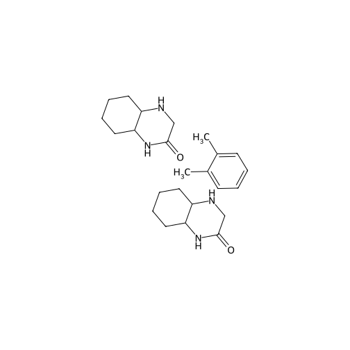 Cc1ccccc1C.O=C1CNC2CCCCC2N1.O=C1CNC2CCCCC2N1